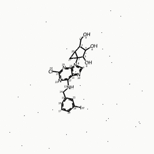 OCC1C(O)C(O)C2(n3cnc4c(NCc5cccc(I)c5)nc(Cl)nc43)CC12